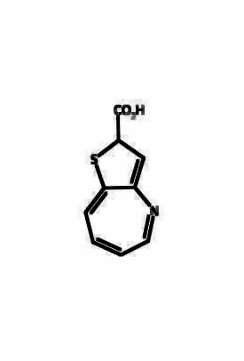 O=C(O)C1C=C2N=CC=CC=C2S1